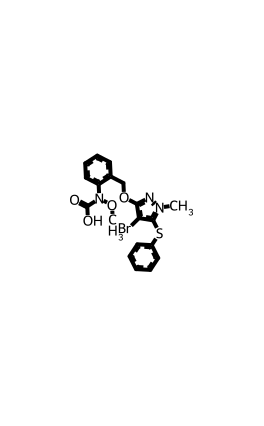 CON(C(=O)O)c1ccccc1COc1nn(C)c(Sc2ccccc2)c1Br